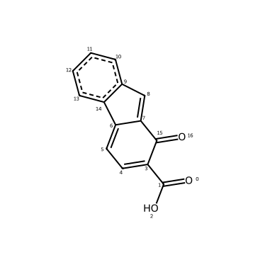 O=C(O)C1=CC=C2C(=Cc3ccccc32)C1=O